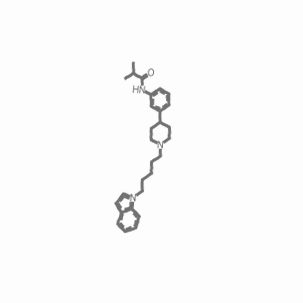 CC(C)C(=O)Nc1cccc(C2CCN(CCCCCn3ccc4ccccc43)CC2)c1